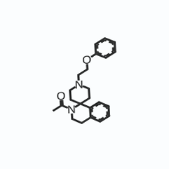 CC(=O)N1CCc2ccccc2C12CCN(CCOc1ccccc1)CC2